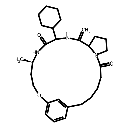 C=C1NC(C2CCCCC2)C(=O)N[C@H](C)CCOc2cccc(c2)CCCCC(=O)N2CCCC12